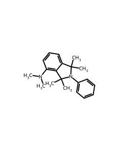 CN(C)c1cccc2c1C(C)(C)N(c1ccccc1)C2(C)C